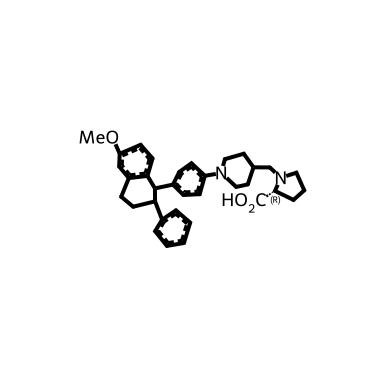 COc1ccc2c(c1)CCC(c1ccccc1)C2c1ccc(N2CCC(CN3CCC[C@@H]3C(=O)O)CC2)cc1